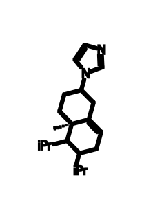 CC(C)C1CC=C2CC(n3ccnc3)CC[C@]2(C)C1C(C)C